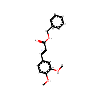 COc1ccc(/C=C/C(=O)OCc2ccccc2)cc1OC